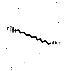 CCCCCCCCCCCCCCCCCCCCCCNCCC